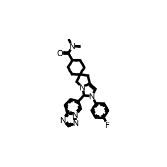 CN(C)C(=O)C1CCC2(CC1)CC1=CN(c3ccc(F)cc3)C(c3ccc4ncnn4c3)N1C2